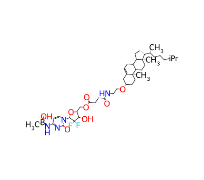 CB(O)Nc1ccn(C2OC(COC(=O)CCC(=O)NCCO[C@H]3CC[C@@]4(C)C(=CCC5C4CC[C@@]4(C)C5CC[C@@H]4[C@H](C)CCCC(C)C)C3)C(O)C2(F)F)c(=O)n1